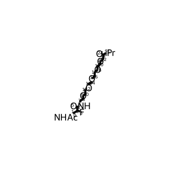 CC(=O)NCC(F)C(=O)NCCOCCOCCOCCOCCOCC(=O)C(C)C